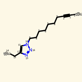 CC(C)(C)C#CCCCCCCCn1cc(CC(C)(C)C)nn1